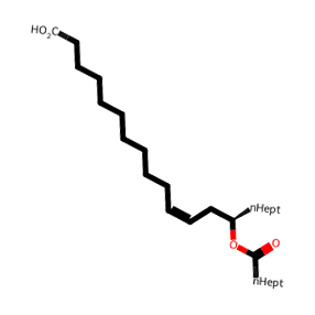 CCCCCCCC(=O)O[C@@H](C/C=C\CCCCCCCCCC(=O)O)CCCCCCC